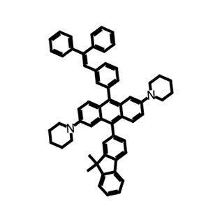 CC1(C)c2ccccc2-c2ccc(-c3c4ccc(N5CCCCC5)cc4c(-c4cccc(C=C(c5ccccc5)c5ccccc5)c4)c4ccc(N5CCCCC5)cc34)cc21